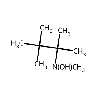 CN(O)C(C)(C)C(C)(C)C